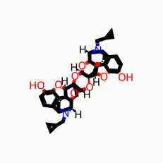 Oc1ccc2c3c1O[C@H]1C45CC[C@@]6(O[C@@H]4O[C@@]47CC[C@@]8(O[C@@H]4O5)[C@H]4Cc5ccc(O)c9c5[C@@]8(CCN4CC4CC4)[C@H]7O9)[C@@H](C2)N(CC2CC2)CC[C@]316